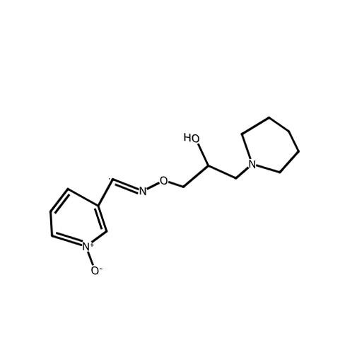 [O-][n+]1cccc([C]=NOCC(O)CN2CCCCC2)c1